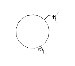 CN(C)CC1CCCCCCCCCCC[C@H](I)CCCC1